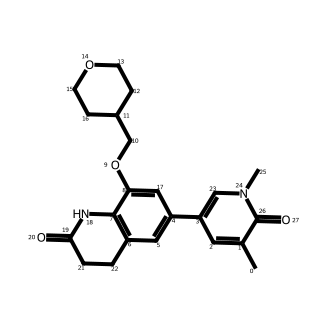 Cc1cc(-c2cc3c(c(OCC4CCOCC4)c2)NC(=O)CC3)cn(C)c1=O